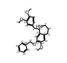 COc1ccc(CC2NCCCc3cc(OC)c(OCc4ccccc4)cc32)cc1OC